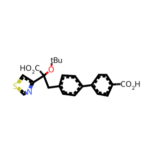 CC(C)(C)OC(Cc1ccc(-c2ccc(C(=O)O)cc2)cc1)(C(=O)O)c1cscn1